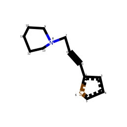 C(#Cc1cccs1)CN1CCCCC1